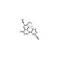 Cc1cc2c(cc1C#N)c(=O)ccn2-c1cc(C#N)ccc1Cl